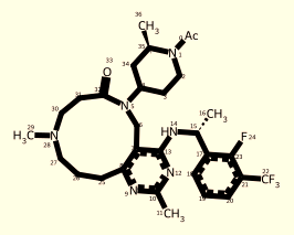 CC(=O)N1CCC(N2Cc3c(nc(C)nc3N[C@H](C)c3cccc(C(F)(F)F)c3F)CCCN(C)CCC2=O)C[C@H]1C